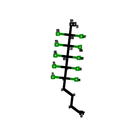 [CH2]C(C)CCCC(Cl)(Cl)C(Cl)(Cl)C(Cl)(Cl)C(Cl)(Cl)C(Cl)(Cl)C(Cl)(Cl)Cl